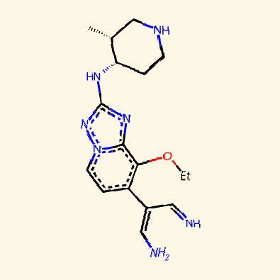 CCOc1c(/C(C=N)=C/N)ccn2nc(N[C@H]3CCNC[C@H]3C)nc12